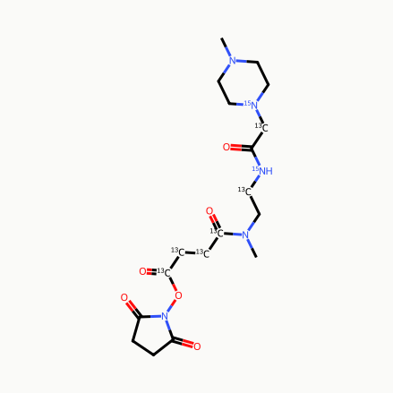 CN1CC[15N]([13CH2]C(=O)[15NH][13CH2]CN(C)[13C](=O)[13CH2][13CH2][13C](=O)ON2C(=O)CCC2=O)CC1